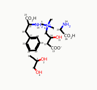 CC(O)CO.C[N+](C)(C)CC(O)CC(=O)[O-].NC(Cc1ccccc1)C(=O)O.NCC(=O)O